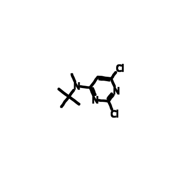 CN(c1cc(Cl)nc(Cl)n1)C(C)(C)C